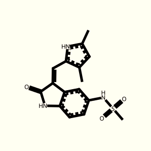 Cc1cc(C)c(C=C2C(=O)Nc3ccc(NS(C)(=O)=O)cc32)[nH]1